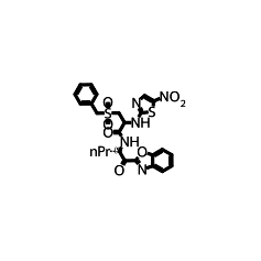 CCC[C@H](NC(=O)C(CS(=O)(=O)Cc1ccccc1)Nc1ncc([N+](=O)[O-])s1)C(=O)c1nc2ccccc2o1